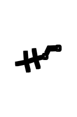 CC(C)(C)C(C)(C)OC=O